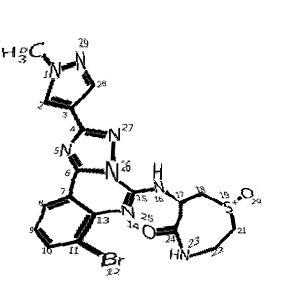 Cn1cc(-c2nc3c4cccc(Br)c4nc(N[C@H]4C[S+]([O-])CCNC4=O)n3n2)cn1